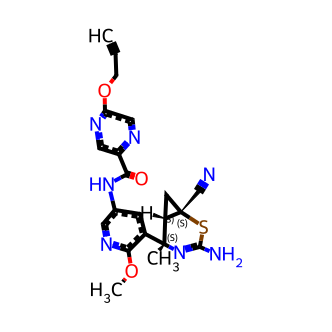 C#CCOc1cnc(C(=O)Nc2cnc(OC)c([C@@]3(C)N=C(N)S[C@@]4(C#N)C[C@H]43)c2)cn1